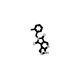 O=C1c2cnc3[nH]ncc3c2C(=O)N1Cc1ccccc1I